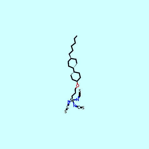 CCCCCC[C@H]1CC[C@H]([C@H]2CC[C@H](OCCC[Si](N=C=S)(N=C=S)N=C=S)CC2)CC1